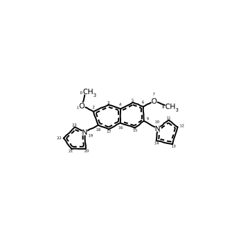 COc1cc2cc(OC)c(-n3cccc3)cc2cc1-n1cccc1